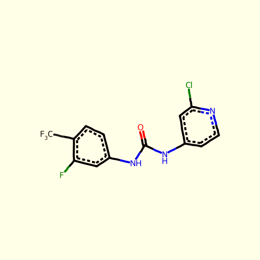 O=C(Nc1ccnc(Cl)c1)Nc1ccc(C(F)(F)F)c(F)c1